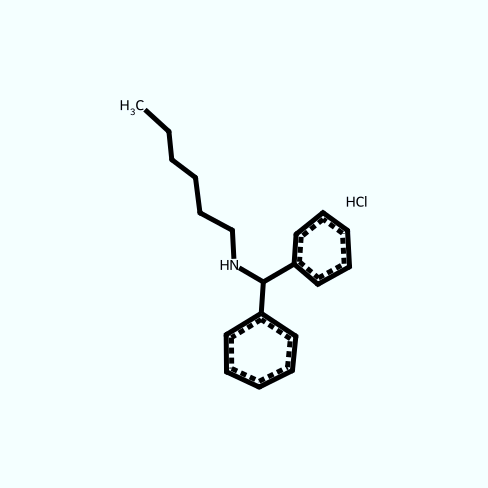 CCCCCCNC(c1ccccc1)c1ccccc1.Cl